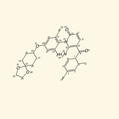 CC1C=C(F)C=CC1C(=O)c1ccc(=O)n(-c2c(F)cc(OC3CCC4(CC3)OCCO4)cc2F)c1N